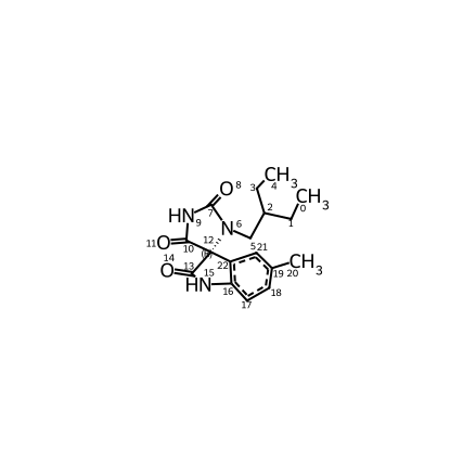 CCC(CC)CN1C(=O)NC(=O)[C@@]12C(=O)Nc1ccc(C)cc12